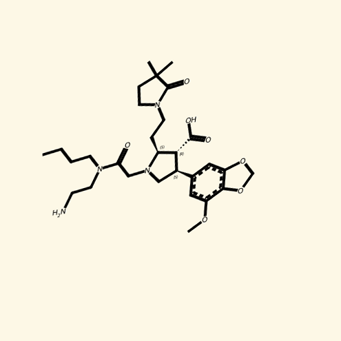 CCCCN(CCN)C(=O)CN1C[C@H](c2cc(OC)c3c(c2)OCO3)[C@@H](C(=O)O)[C@@H]1CCN1CCC(C)(C)C1=O